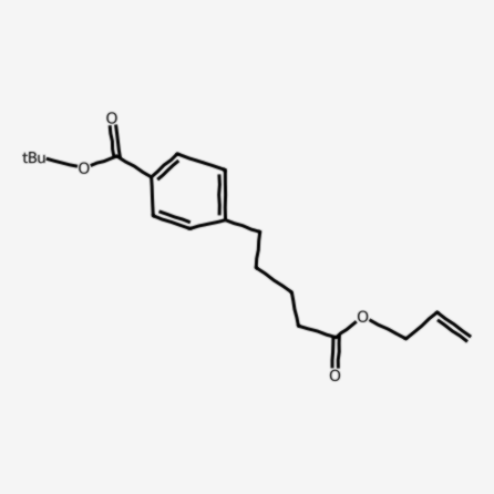 C=CCOC(=O)CCCCc1ccc(C(=O)OC(C)(C)C)cc1